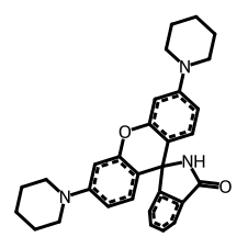 O=C1NC2(c3ccc(N4CCCCC4)cc3Oc3cc(N4CCCCC4)ccc32)c2ccccc21